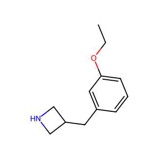 CCOc1cccc(CC2CNC2)c1